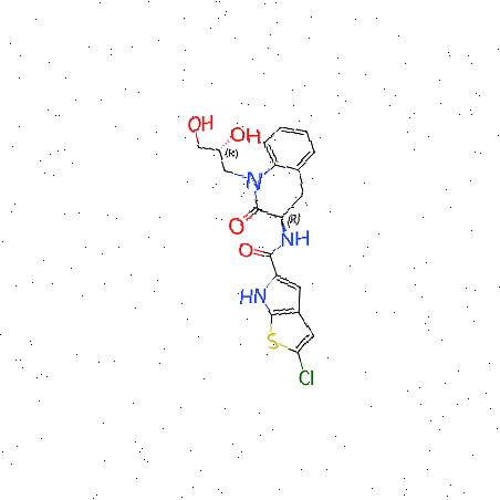 O=C(N[C@@H]1Cc2ccccc2N(C[C@@H](O)CO)C1=O)c1cc2cc(Cl)sc2[nH]1